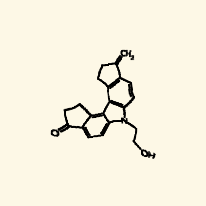 C=C1CCc2c1ccc1c2c2c3c(ccc2n1CCO)C(=O)CC3